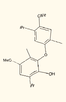 COc1cc(C)c(Oc2c(C)c(OC)cc(C(C)C)c2O)cc1C(C)C